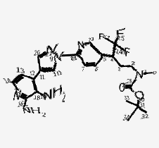 CN(CCC(c1ccc(-n2cc(-c3ccnc(N)c3N)cn2)nc1)C(F)(F)F)C(=O)OC(C)(C)C